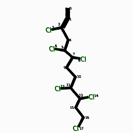 C=C=C(Cl)CC(Cl)C(Cl)CCC(Cl)C(Cl)CCCl